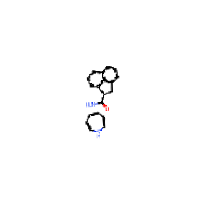 C1=CC=CNC=C1.NC(=O)C1Cc2cccc3cccc1c23